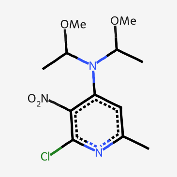 COC(C)N(c1cc(C)nc(Cl)c1[N+](=O)[O-])C(C)OC